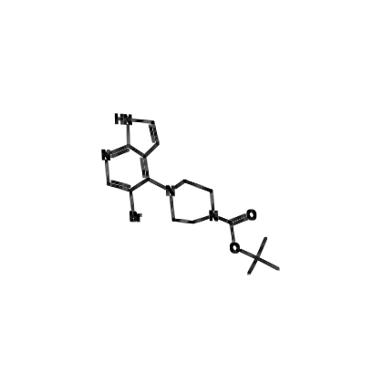 CC(C)(C)OC(=O)N1CCN(c2c(Br)cnc3[nH]ccc23)CC1